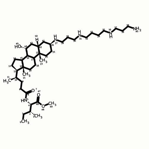 CC[C@@H](C)[C@H](NC(=O)CC[C@@H](C)[C@H]1CCC2C3C(CC[C@@]21C)[C@@]1(C)CC[C@H](NCCCNCCCCNCCCN)C[C@H]1C[C@H]3O)C(=O)OC